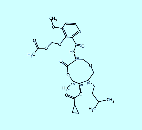 COc1ccnc(C(=O)N[C@H]2COC[C@H](CCC(C)C)[C@@H](OC(=O)C3CC3)[C@H](C)OC2=O)c1OCOC(C)=O